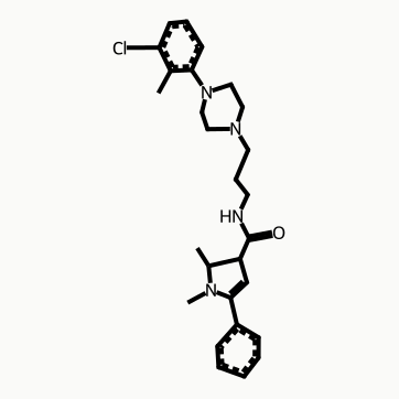 Cc1c(Cl)cccc1N1CCN(CCCNC(=O)C2C=C(c3ccccc3)N(C)C2C)CC1